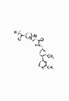 CC(=O)c1ccc2nc(C(=O)NCc3ccc(-c4ccnc(C)c4)c(C)c3)cn2c1